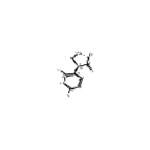 C=C(C(C)C)[C@H](CN)c1ccc(C)cc1F